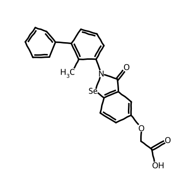 Cc1c(-c2ccccc2)cccc1-n1[se]c2ccc(OCC(=O)O)cc2c1=O